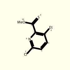 CCc1ccc(Cl)nc1C(=S)OC